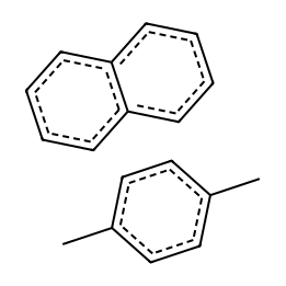 Cc1ccc(C)cc1.c1ccc2ccccc2c1